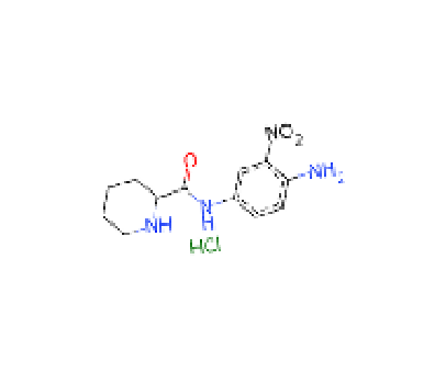 Cl.Nc1ccc(NC(=O)C2CCCCN2)cc1[N+](=O)[O-]